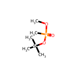 COP(C)(=O)O[Si](C)(C)C